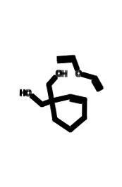 C=COC=C.OCC1(CO)C=CCCC1